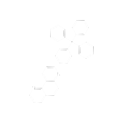 c1ccc(C(c2ccccc2)(c2ccccc2)c2ccccc2)cc1.c1cnc2c(c1)ccc1ncccc12